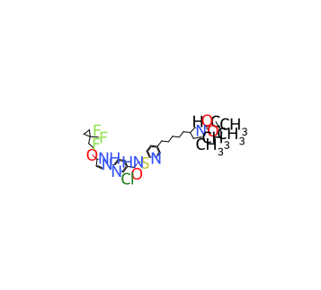 CC(C)(C)OC(=O)N1CC(CCCCCc2ccc(SNC(=O)c3ccc(N4C=CC(OCCC5(C(F)(F)F)CC5)N4)nc3Cl)nc2)CC1(C)C